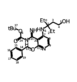 CCC(CC)(CCO)Nc1ccnc(OCc2ccccc2)c1C(=N)NC(=O)OC(C)(C)C